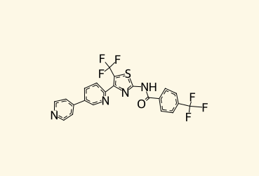 O=C(Nc1nc(-c2ccc(-c3ccncc3)cn2)c(C(F)(F)F)s1)c1ccc(C(F)(F)F)cc1